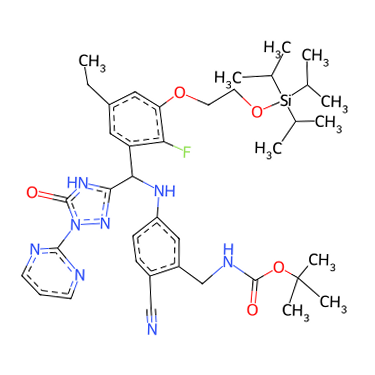 CCc1cc(OCCO[Si](C(C)C)(C(C)C)C(C)C)c(F)c(C(Nc2ccc(C#N)c(CNC(=O)OC(C)(C)C)c2)c2nn(-c3ncccn3)c(=O)[nH]2)c1